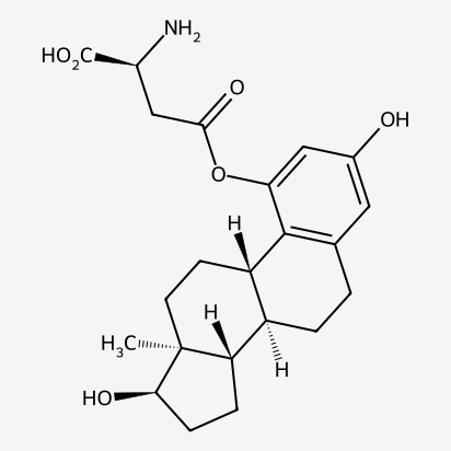 C[C@]12CC[C@@H]3c4c(cc(O)cc4OC(=O)C[C@H](N)C(=O)O)CC[C@H]3[C@@H]1CC[C@H]2O